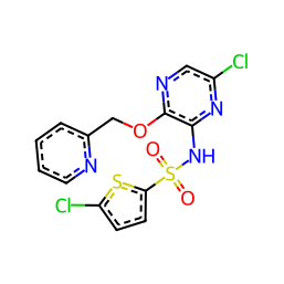 O=S(=O)(Nc1nc(Cl)cnc1OCc1ccccn1)c1ccc(Cl)s1